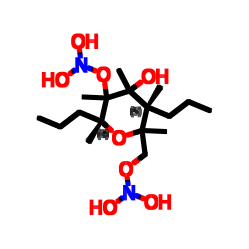 CCC[C@]1(C)C(C)(CON(O)O)O[C@](C)(CCC)C(C)(ON(O)O)C1(C)O